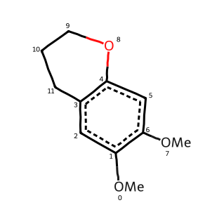 COc1cc2c(cc1OC)OCCC2